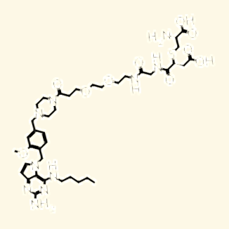 CCCCCNc1nc(N)nc2ccn(Cc3ccc(CN4CCN(C(=O)CCOCCOCCNC(=O)CNC(=O)[C@H](CC(=O)O)SC[C@H](N)C(=O)O)CC4)cc3OC)c12